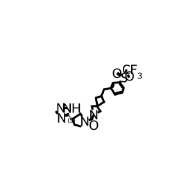 O=C(N1CC[C@H](c2ncn[nH]2)C1)N1CC2(CC(Cc3cccc(S(=O)(=O)C(F)(F)F)c3)C2)C1